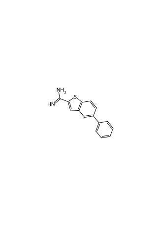 N=C(N)c1cc2cc(-c3ccccc3)ccc2s1